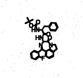 CC(C)(C)OC(=O)N[C@@H](Cc1ccccc1)C(=O)N[C@@H]1N=C(c2ccccc2F)c2cccc3c2N(CC3)C1=O